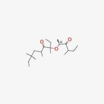 CCC(C)C(=O)[C@H](C)OC(C)(CC)C(=O)C(C)CC(C)(C)CC